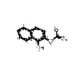 O=C(Cl)Oc1ccc2ccccc2c1O